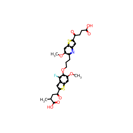 COc1cc2sc(C(=O)CCC(=O)O)cc2nc1CCCOc1c(OC)cc2sc(C(=O)CC(C)C(=O)O)cc2c1F